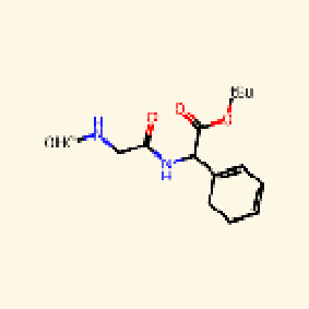 CC(C)(C)OC(=O)C(NC(=O)CNC=O)C1=CC=CCC1